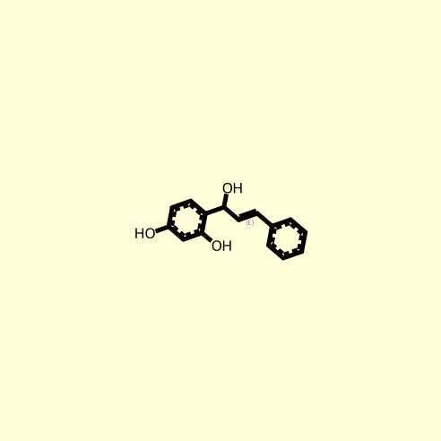 Oc1ccc(C(O)/C=C/c2ccccc2)c(O)c1